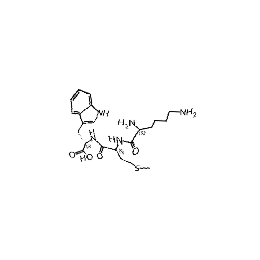 CSCC[C@H](NC(=O)[C@@H](N)CCCCN)C(=O)N[C@@H](Cc1c[nH]c2ccccc12)C(=O)O